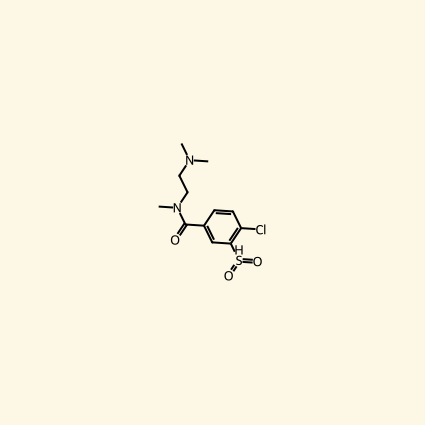 CN(C)CCN(C)C(=O)c1ccc(Cl)c([SH](=O)=O)c1